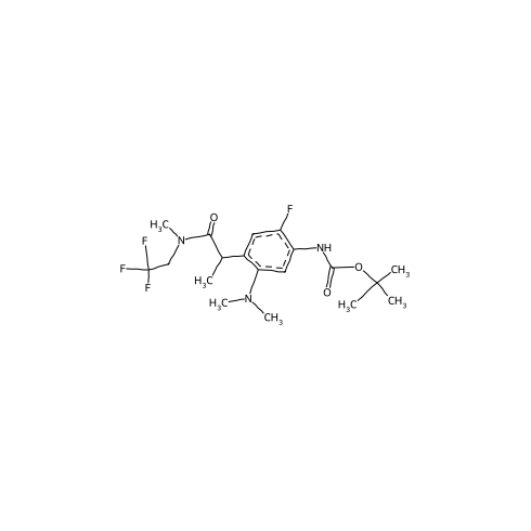 CC(C(=O)N(C)CC(F)(F)F)c1cc(F)c(NC(=O)OC(C)(C)C)cc1N(C)C